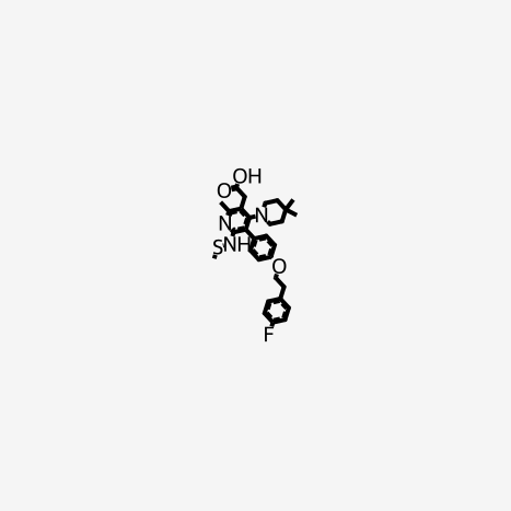 CSNc1nc(C)c(CC(=O)O)c(N2CCC(C)(C)CC2)c1-c1ccc(OCCc2ccc(F)cc2)cc1